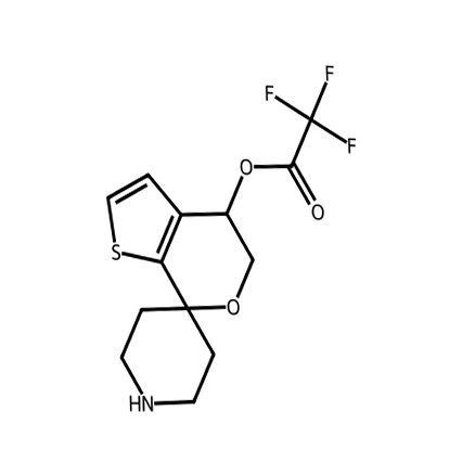 O=C(OC1COC2(CCNCC2)c2sccc21)C(F)(F)F